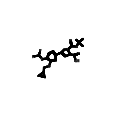 CC(C)(C)OC(=O)N1CC(c2ccc(OC(F)F)c(OCC3CC3)c2)=CC1C(=O)O